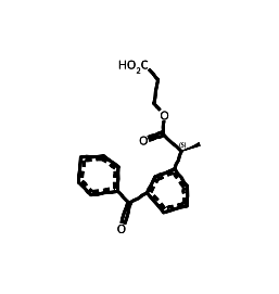 C[C@H](C(=O)OCCC(=O)O)c1cccc(C(=O)c2ccccc2)c1